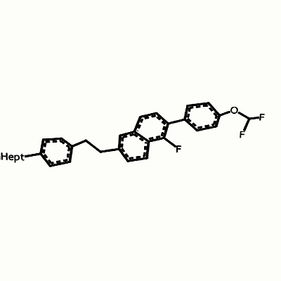 CCCCCCCc1ccc(CCc2ccc3c(F)c(-c4ccc(OC(F)F)cc4)ccc3c2)cc1